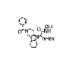 CCCCCCC(C(=O)NO)n1c2c(c3ccccc31)CN(C(=O)c1ccccc1)CC2